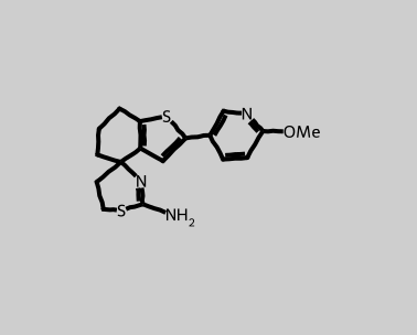 COc1ccc(-c2cc3c(s2)CCCC32CCSC(N)=N2)cn1